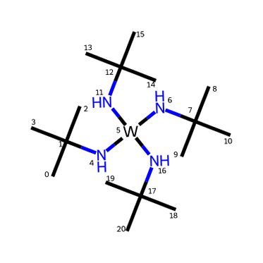 CC(C)(C)[NH][W]([NH]C(C)(C)C)([NH]C(C)(C)C)[NH]C(C)(C)C